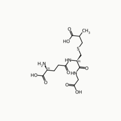 CC(CSC[C@H](NC(=O)CC[C@H](N)C(=O)O)C(=O)NCC(=O)O)C(=O)O